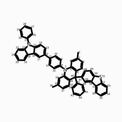 Cc1ccc2c(c1)N(c1ccc(-c3ccc4c(c3)c3ccccc3n4-c3ccccc3)cc1)c1cc(C)ccc1C2(c1ccccc1)c1ccc2sc3ccccc3c2c1